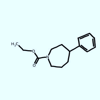 CCOC(=O)N1CCCC(c2ccccc2)CC1